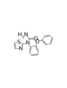 NC(=O)N(c1nccs1)c1ccccc1Oc1ccccc1